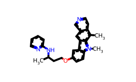 Cc1c2ccncc2cc2c3cc(OCCC(C)Nc4ccccn4)ccc3n(C)c12